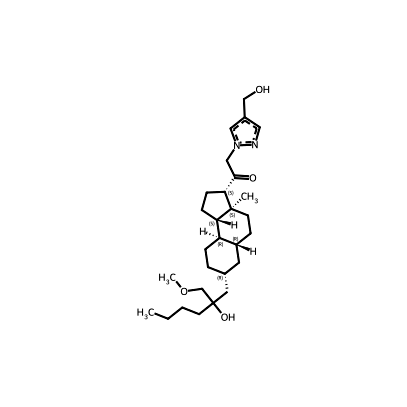 CCCCC(O)(COC)C[C@@H]1CC[C@@H]2[C@H](CC[C@]3(C)[C@@H](C(=O)Cn4cc(CO)cn4)CC[C@@H]23)C1